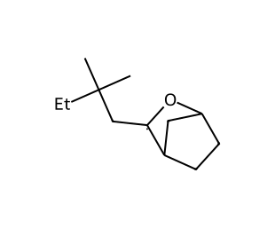 [CH2]CC(C)(C)C[C]1OC2CCC1C2